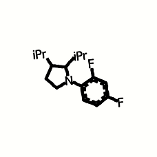 CC(C)C1CCN(c2ccc(F)cc2F)C1C(C)C